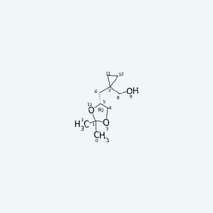 CC1(C)OC[C@@H](CC2(CO)CC2)O1